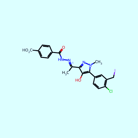 C/C(=N\NC(=O)c1ccc(C(=O)O)cc1)c1nn(C)c(-c2ccc(Cl)c(CI)c2)c1O